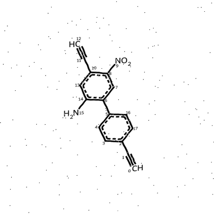 C#Cc1ccc(-c2cc([N+](=O)[O-])c(C#C)cc2N)cc1